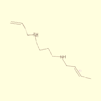 C=CCNCCCNC/C=C/C